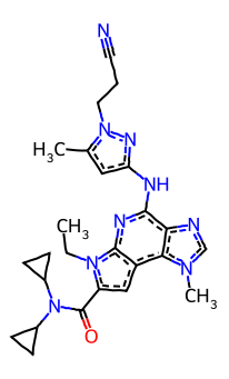 CCn1c(C(=O)N(C2CC2)C2CC2)cc2c3c(ncn3C)c(Nc3cc(C)n(CCC#N)n3)nc21